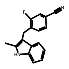 Cc1[nH]c2ccccc2c1Cc1ccc(C#N)cc1F